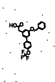 O=C(O)Cc1cc(OCc2ccccc2)cc(-c2ccc(OC(F)(F)F)cc2)c1